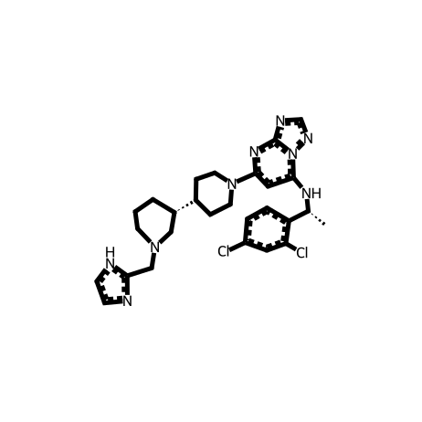 C[C@@H](Nc1cc(N2CCC([C@H]3CCCN(Cc4ncc[nH]4)C3)CC2)nc2ncnn12)c1ccc(Cl)cc1Cl